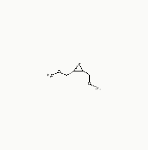 FC(F)(F)OCC1OC1COC(F)(F)F